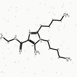 CCCCCc1nc(C(=O)OCC)c(C)n1CCCCC